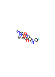 COC(=O)C12Cc3cnn(-c4ccc(F)cc4)c3C=C1CCN(S(=O)(=O)c1ccc(N3CCC3)nc1)C2